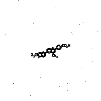 Cc1cc(C2CCN(C(=O)O)CC2)nc2ccc(-c3ccc4nn(C)cc4c3)cc12